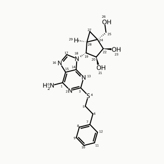 Nc1nc(SCCc2ccccc2)nc2c1ncn2[C@H]1[C@H](O)[C@H](O)[C@]2(CO)C[C@H]12